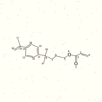 C=CC(=O)OC[CH]CC(C)(C)c1ccc(C(=C)C)cc1